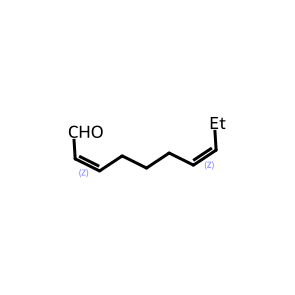 CC/C=C\CCC/C=C\C=O